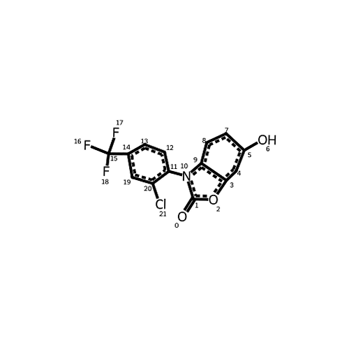 O=c1oc2cc(O)ccc2n1-c1ccc(C(F)(F)F)cc1Cl